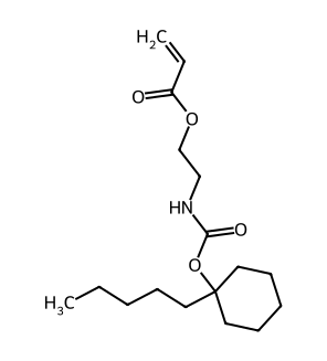 C=CC(=O)OCCNC(=O)OC1(CCCCC)CCCCC1